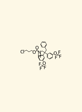 O=C(NCC(Cc1ccccc1)(c1cccc(OC(F)(F)F)c1)c1cccc(OC(F)(F)F)c1)OCCCCl